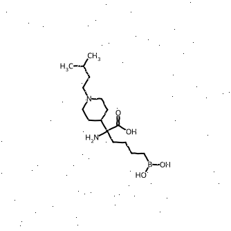 CC(C)CCN1CCC(C(N)(CCCCB(O)O)C(=O)O)CC1